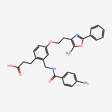 Cc1ccc(C(=O)NCc2cc(OCCc3nc(-c4ccccc4)oc3C)ccc2CCC(=O)O)cc1